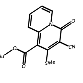 CCCCOC(=O)c1c(SC)c(C#N)c(=O)n2ccccc12